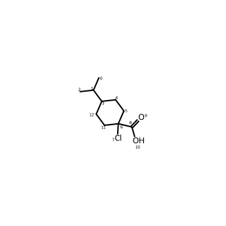 CC(C)C1CCC(Cl)(C(=O)O)CC1